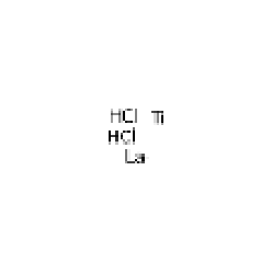 Cl.Cl.[La].[Ti]